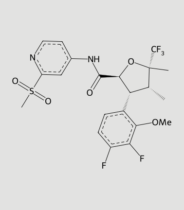 COc1c([C@@H]2[C@@H](C(=O)Nc3ccnc(S(C)(=O)=O)c3)O[C@](C)(C(F)(F)F)[C@@H]2C)ccc(F)c1F